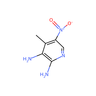 Cc1c([N+](=O)[O-])cnc(N)c1N